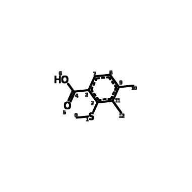 CSc1c(C(=O)O)ccc(C)c1C